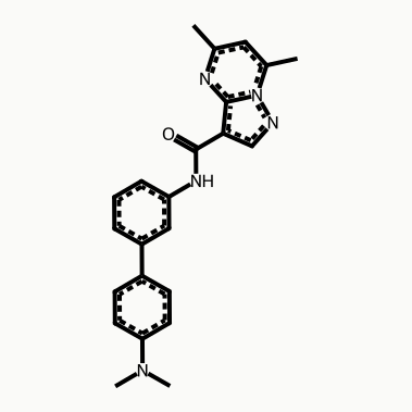 Cc1cc(C)n2ncc(C(=O)Nc3cccc(-c4ccc(N(C)C)cc4)c3)c2n1